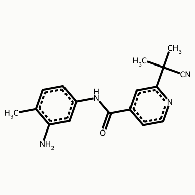 Cc1ccc(NC(=O)c2ccnc(C(C)(C)C#N)c2)cc1N